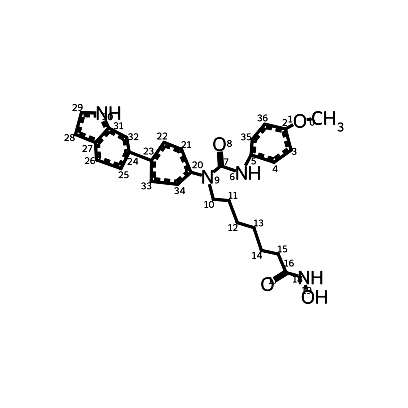 COc1ccc(NC(=O)N(CCCCCCC(=O)NO)c2ccc(-c3ccc4cc[nH]c4c3)cc2)cc1